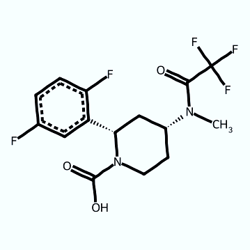 CN(C(=O)C(F)(F)F)[C@@H]1CCN(C(=O)O)[C@H](c2cc(F)ccc2F)C1